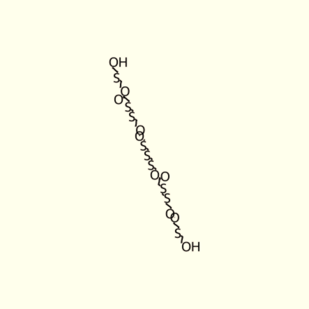 O=C(CSCSCCOOCSCSCSCOC(=O)CSCSCCOOCCSCCO)OCCSCCO